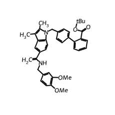 C=C(NCc1ccc(OC)c(OC)c1)c1ccc2c(c1)c(C)c(C)n2Cc1ccc(-c2ccccc2C(=O)OC(C)(C)C)cc1